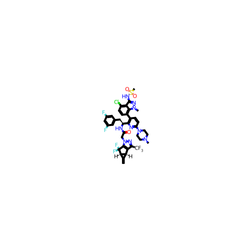 C=C1[C@@H]2c3c(C(F)(F)F)nn(CC(=O)N[C@@H](Cc4cc(F)cc(F)c4)c4nc(N5CCN(C)CC5)ccc4-c4ccc(Cl)c5c(NS(C)(=O)=O)nn(C)c45)c3C(F)(F)[C@H]12